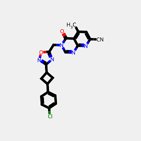 Cc1cc(C#N)nc2ncn(Cc3nc(C4CC(c5ccc(Cl)cc5)C4)no3)c(=O)c12